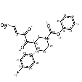 O=C(O)C=CC(=O)C(=O)[C@H]1CN(C(=O)Oc2ccccc2)CC[C@@H]1c1ccc(F)cc1